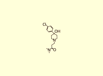 CN(C)C(=O)CCN1CCC(O)(c2ccc(Cl)cc2)CC1